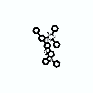 CN1C(C2=CCCCC2)N=C(C2C=CCCC2)NC1C1C=C(c2ccccc2)C=CC1C1=CC2=C(CC1)C1CCC3C(C4=CC=CCC4N3C3=CCCC=C3)C1(C)O2